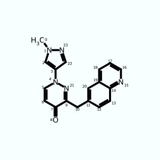 Cn1cc(-n2ccc(=O)c(Cc3ccc4ncccc4c3)n2)cn1